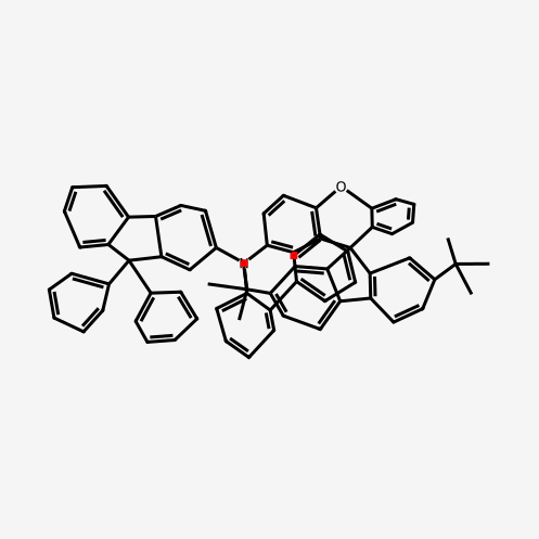 CC(C)(C)c1ccc2c(c1)C1(c3ccccc3Oc3ccc(N(c4ccc5c(c4)C(c4ccccc4)(c4ccccc4)c4ccccc4-5)c4ccccc4-c4ccccc4)cc31)c1cc(C(C)(C)C)ccc1-2